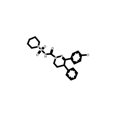 O=C(NS(=O)(=O)N1CCCCC1)N1CCC(c2ccccc2)C(c2ccc(Cl)cc2)=N1